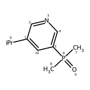 CC(C)c1cncc(P(C)(C)=O)c1